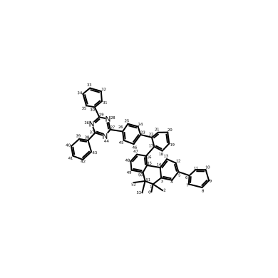 CC1(C)c2cc(-c3ccccc3)ccc2-c2c(-c3ccccc3-c3ccc(-c4nc(-c5ccccc5)nc(-c5ccccc5)n4)cc3)cccc2C1(C)C